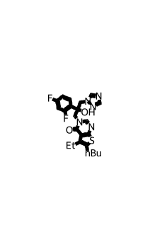 CCCCc1sc2ncn(CC(O)(Cn3cncn3)c3ccc(F)cc3F)c(=O)c2c1CC